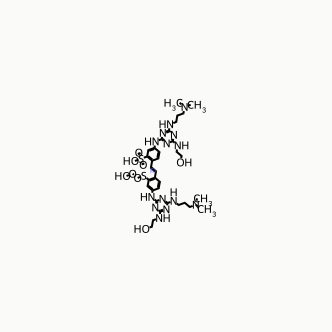 CN(C)CCCNc1nc(NCCO)nc(Nc2ccc(/C=C/c3ccc(Nc4nc(NCCO)nc(NCCCN(C)C)n4)cc3S(=O)(=O)O)c(SOOO)c2)n1